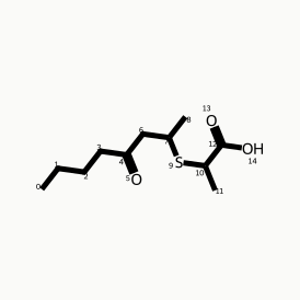 CCCCC(=O)CC(C)SC(C)C(=O)O